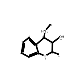 CNC1c2ccccc2OC(C)C1O